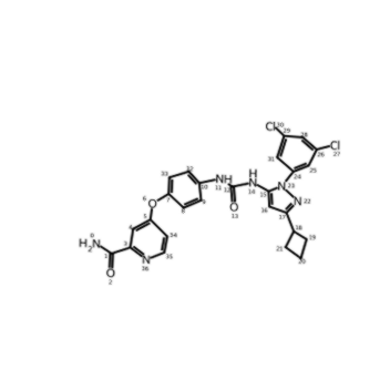 NC(=O)c1cc(Oc2ccc(NC(=O)Nc3cc(C4CCC4)nn3-c3cc(Cl)cc(Cl)c3)cc2)ccn1